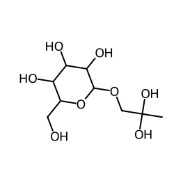 CC(O)(O)COC1OC(CO)C(O)C(O)C1O